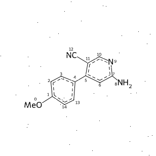 COc1ccc(-c2cc(N)ncc2C#N)cc1